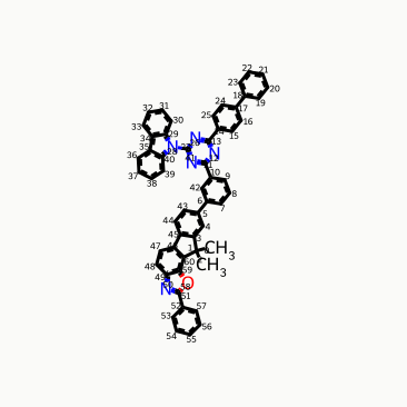 CC1(C)c2cc(-c3cccc(-c4nc(-c5ccc(-c6ccccc6)cc5)nc(-n5c6ccccc6c6ccccc65)n4)c3)ccc2-c2ccc3nc(-c4ccccc4)oc3c21